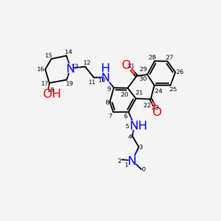 CN(C)CCNc1ccc(NCCN2CCCC(O)C2)c2c1C(=O)c1ccccc1C2=O